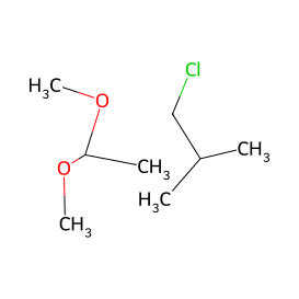 CC(C)CCl.COC(C)OC